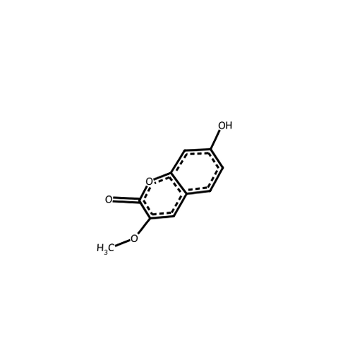 COc1cc2ccc(O)cc2oc1=O